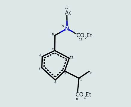 CCOC(=O)C(C)c1cccc(CN(C(C)=O)C(=O)OCC)c1